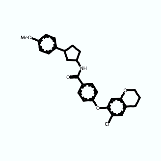 COc1ccc(C2CCC(NC(=O)c3ccc(Oc4cc5c(cc4Cl)CCCO5)cc3)C2)cc1